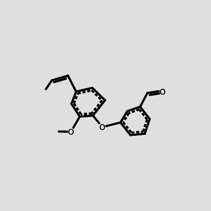 C/C=C\c1ccc(Oc2cccc(C=O)c2)c(OC)c1